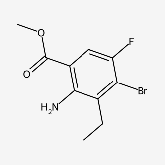 CCc1c(N)c(C(=O)OC)cc(F)c1Br